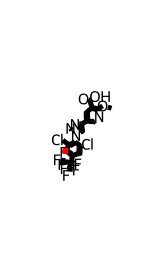 COc1ncc(-c2cn(-c3c(Cl)cc(C(F)(C(F)(F)F)C(F)(F)F)cc3Cl)nn2)cc1C(=O)O